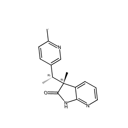 [CH2]c1ccc([C@@H](C)[C@@]2(C)C(=O)Nc3ncccc32)cn1